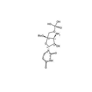 CO[C@]1(COP(=O)(O)O)O[C@@H](n2ccc(=O)[nH]c2=O)[C@H](O)[C@@H]1N